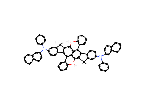 CC1(C)c2cc(N(c3ccccc3)c3ccc4ccccc4c3)ccc2-c2c1c1c3c(c4c(c5c3c2-c2ccccc2O5)C(C)(C)c2cc(N(c3ccccc3)c3ccc5ccccc5c3)ccc2-4)-c2ccccc2O1